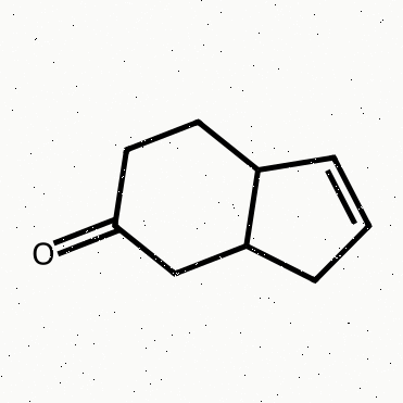 O=C1CCC2C=CCC2C1